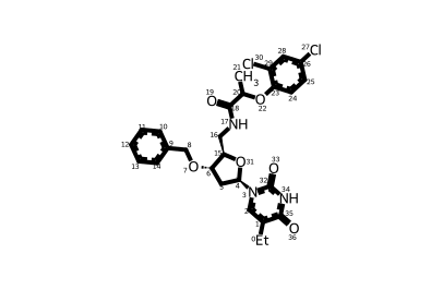 CCc1cn([C@H]2C[C@H](OCc3ccccc3)[C@@H](CNC(=O)C(C)Oc3ccc(Cl)cc3Cl)O2)c(=O)[nH]c1=O